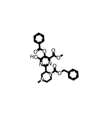 COC(=O)c1nc(C2CN(C)CCN2C(=O)OCc2ccccc2)nc(O)c1OC(=O)c1ccccc1